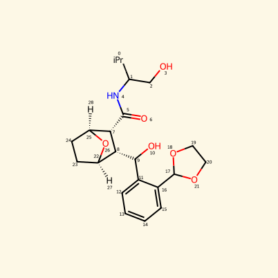 CC(C)C(CO)NC(=O)[C@@H]1[C@H](C(O)c2ccccc2C2OCCO2)[C@H]2CC[C@@H]1O2